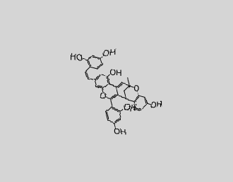 CC12C=C3C(=C(c4ccc(O)cc4O)Oc4cc(/C=C\c5ccc(O)cc5O)cc(O)c43)C(C1)c1ccc(O)cc1O2